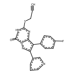 C#CCSc1nc2c(-c3ccc(F)cc3)c(-c3cccnc3)nn2c(=O)[nH]1